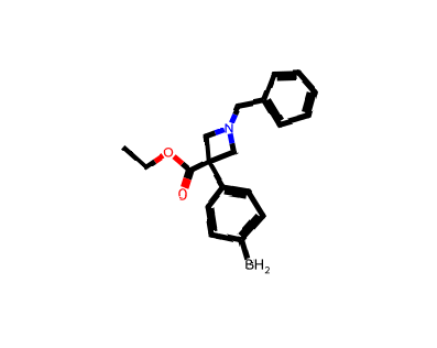 Bc1ccc(C2(C(=O)OCC)CN(Cc3ccccc3)C2)cc1